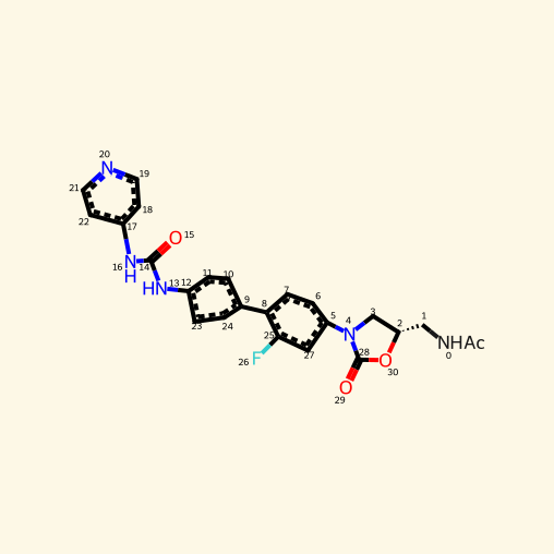 CC(=O)NC[C@H]1CN(c2ccc(-c3ccc(NC(=O)Nc4ccncc4)cc3)c(F)c2)C(=O)O1